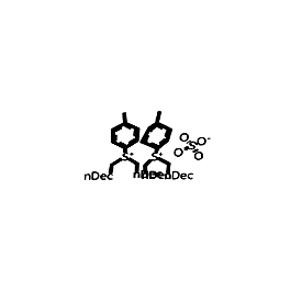 CCCCCCCCCCC[S+](CCCCCCCCCCC)c1ccc(C)cc1.CCCCCCCCCCC[S+](CCCCCCCCCCC)c1ccc(C)cc1.O=S(=O)([O-])[O-]